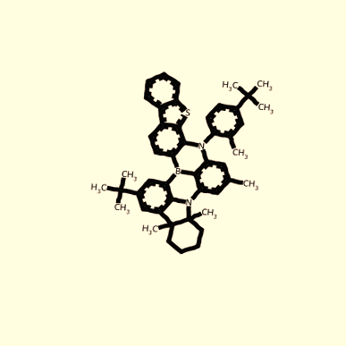 Cc1cc2c3c(c1)N1c4c(cc(C(C)(C)C)cc4C4(C)CCCCC14C)B3c1ccc3c(sc4ccccc43)c1N2c1ccc(C(C)(C)C)cc1C